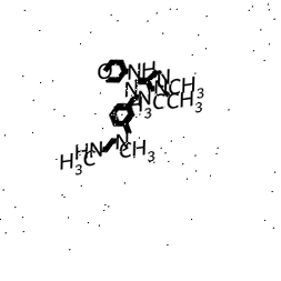 CNCCN(C)Cc1cccc(-c2nc(NC3CCOCC3)c3cnn(C(C)(C)C)c3n2)c1